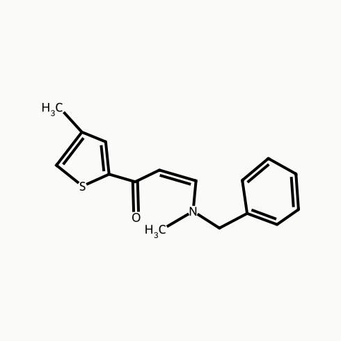 Cc1csc(C(=O)/C=C\N(C)Cc2ccccc2)c1